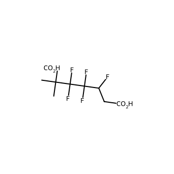 CC(C)(C(=O)O)C(F)(F)C(F)(F)C(F)CC(=O)O